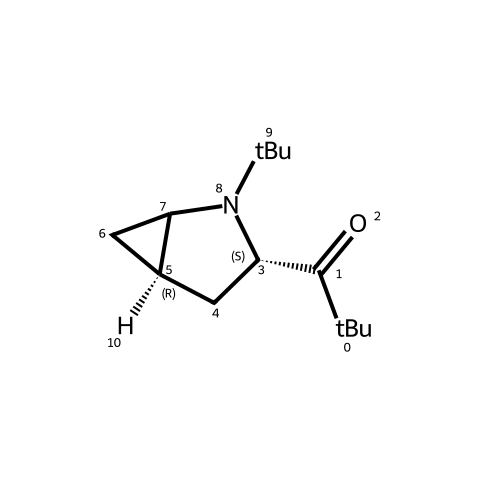 CC(C)(C)C(=O)[C@@H]1C[C@H]2CC2N1C(C)(C)C